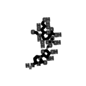 Nc1ccn(C2O[C@H](COP(=O)(O)O[C@@]3(C(=O)O)C[C@H](O)[C@H](NC=O)C([C@H](O)[C@H](O)CO)O3)[C@@H](O)[C@H]2O)c(=O)n1